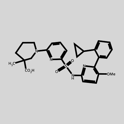 COc1ccc(NS(=O)(=O)c2cccc(N3CCCC(C)(C(=O)O)C3)n2)nc1-c1ccccc1C1CC1